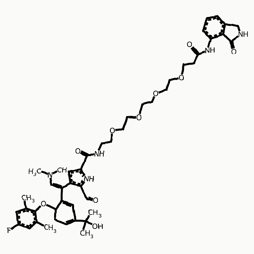 Cc1cc(F)cc(C)c1OC1CC=C(C(C)(C)O)C=C1/C(=C/N(C)C)c1cc(C(=O)NCCOCCOCCOCCOCCC(=O)Nc2cccc3c2C(=O)NC3)[nH]c1C=O